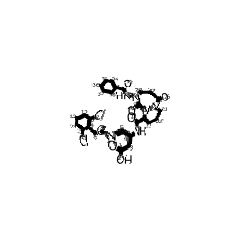 O=C(O)CC(/C=N/OCc1c(Cl)cccc1Cl)NC(=O)C1CCCN2C(=O)CCN(NC(=O)c3ccccc3)C(=O)N12